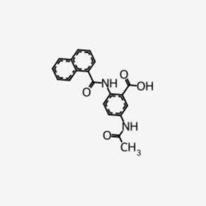 CC(=O)Nc1ccc(NC(=O)c2cccc3ccccc23)c(C(=O)O)c1